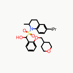 CC(C)c1ccc2c(c1)CCC(C)N2S(=O)(=O)C(O)c1ccccc1OCC1CCOCC1